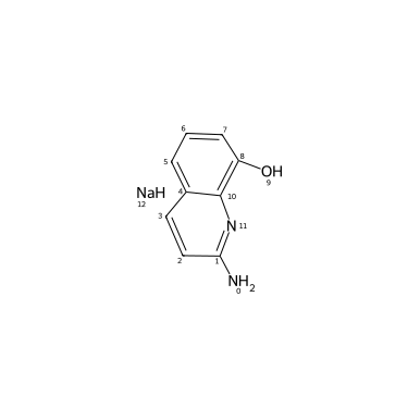 Nc1ccc2cccc(O)c2n1.[NaH]